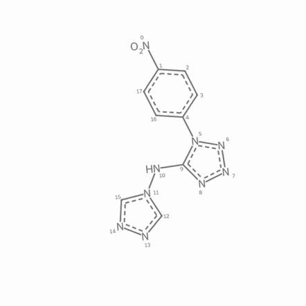 O=[N+]([O-])c1ccc(-n2nnnc2Nn2cnnc2)cc1